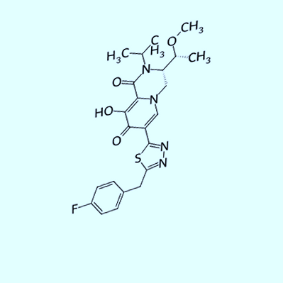 CO[C@H](C)[C@@H]1Cn2cc(-c3nnc(Cc4ccc(F)cc4)s3)c(=O)c(O)c2C(=O)N1C(C)C